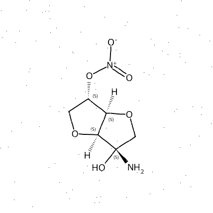 N[C@]1(O)CO[C@@H]2[C@@H](O[N+](=O)[O-])CO[C@@H]21